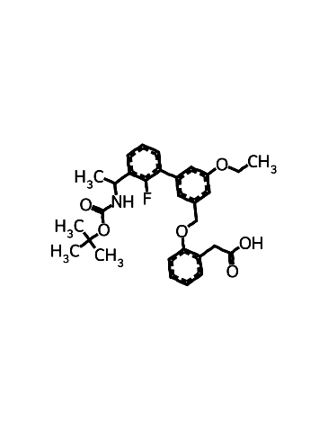 CCOc1cc(COc2ccccc2CC(=O)O)cc(-c2cccc(C(C)NC(=O)OC(C)(C)C)c2F)c1